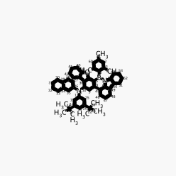 Cc1cc(C)c(B2c3c(cc(N(c4cc(C(C)(C)C)cc(C(C)(C)C)c4)c4ccc5ccccc5c4)c4c3oc3ccccc34)-c3cccc4c5ccccc5n2c34)c(C)c1